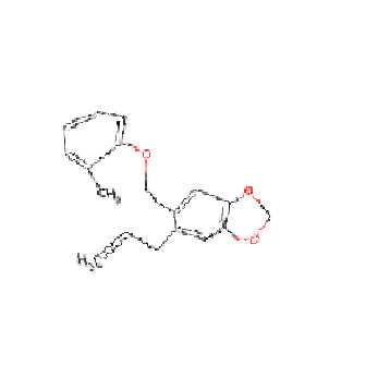 C=CCc1cc2c(cc1COc1ccccc1C)OCO2